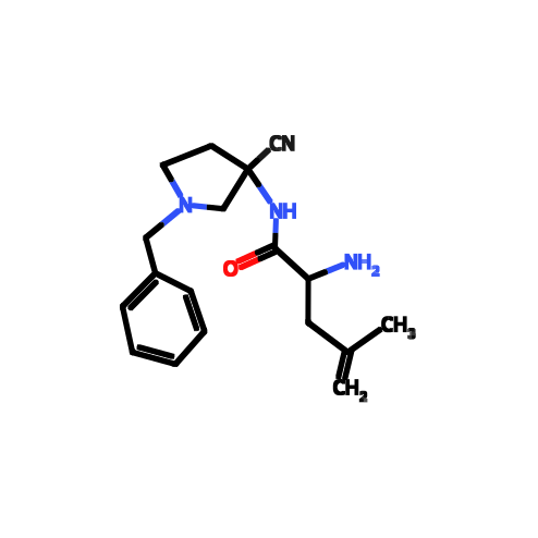 C=C(C)CC(N)C(=O)NC1(C#N)CCN(Cc2ccccc2)C1